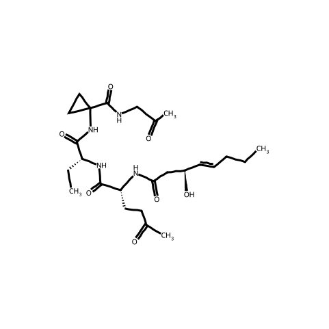 CCC/C=C/[C@@H](O)CC(=O)N[C@H](CCC(C)=O)C(=O)N[C@H](CC)C(=O)NC1(C(=O)NCC(C)=O)CC1